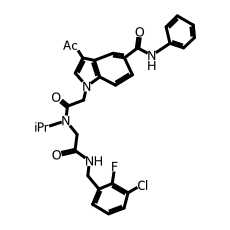 CC(=O)c1cn(CC(=O)N(CC(=O)NCc2cccc(Cl)c2F)C(C)C)c2ccc(C(=O)Nc3ccccc3)cc12